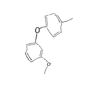 COc1cccc(Oc2ccc(C)cc2)c1